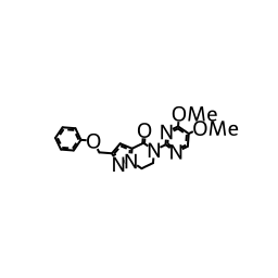 COc1cnc(N2CCn3nc(COc4ccccc4)cc3C2=O)nc1OC